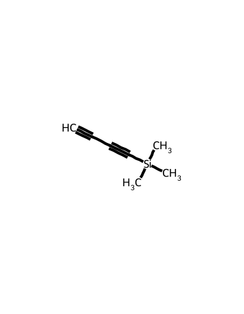 C#CC#C[Si](C)(C)C